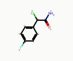 NC(=O)C(Cl)c1ccc(F)cc1